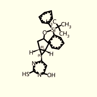 CC(C)(C)[Si](OC1C[C@@H]2[C@H](C1)[C@H]2c1cc(O)nc(S)n1)(c1ccccc1)c1ccccc1